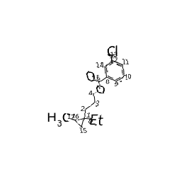 CCC1(CCCOC(=O)c2[c]ccc(Cl)c2)CC1C